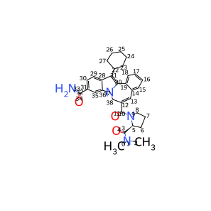 CN(C)C(=O)[C@@H]1CCCN1C(=O)C1=Cc2ccccc2-c2c(C3CCCCC3)c3ccc(C(N)=O)cc3n2C1